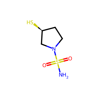 NS(=O)(=O)N1CC[C@H](S)C1